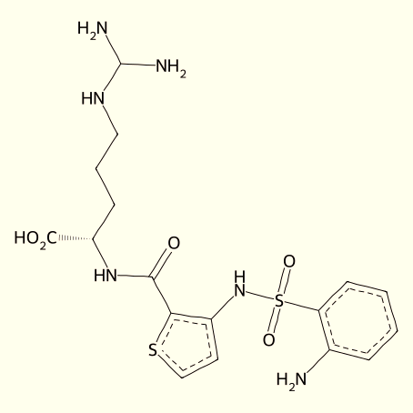 Nc1ccccc1S(=O)(=O)Nc1ccsc1C(=O)N[C@@H](CCCNC(N)N)C(=O)O